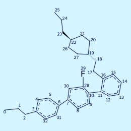 CCCc1ccc(-c2ccc(-c3ccccc3CC[C@H]3CC[C@H](CCC)CC3)c(F)c2)cc1